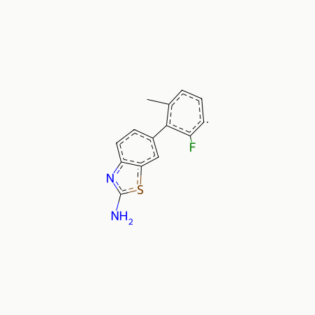 Cc1cc[c]c(F)c1-c1ccc2nc(N)sc2c1